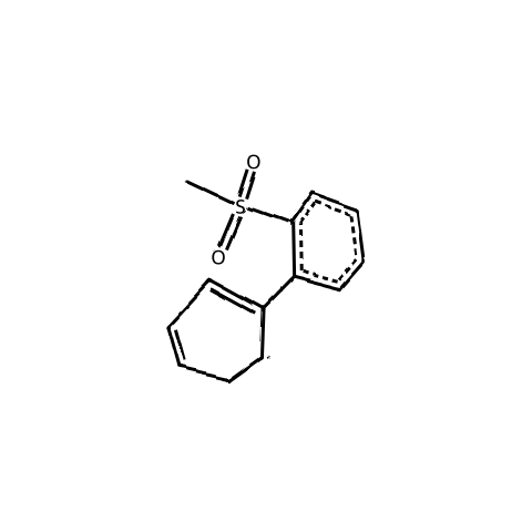 CS(=O)(=O)c1ccccc1C1=CC=CC[CH]1